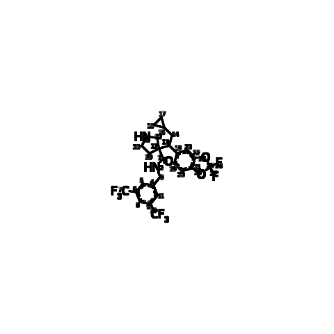 O=C(NCc1cc(C(F)(F)F)cc(C(F)(F)F)c1)C1(C(CC2CC2)c2ccc3c(c2)OC(F)(F)O3)CCNC1